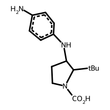 CC(C)(C)C1C(Nc2ccc(N)cc2)CCN1C(=O)O